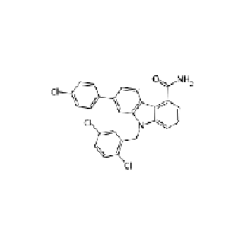 NC(=O)c1cccc2c1c1[c]cc(-c3ccc(Cl)cc3)cc1n2Cc1cc(Cl)ccc1Cl